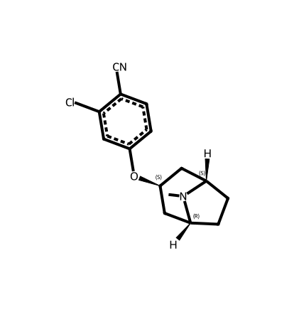 CN1[C@@H]2CC[C@H]1C[C@H](Oc1ccc(C#N)c(Cl)c1)C2